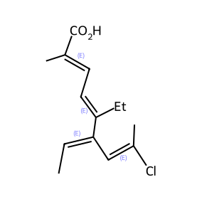 C/C=C(\C=C(/C)Cl)C(=C/C=C(\C)C(=O)O)/CC